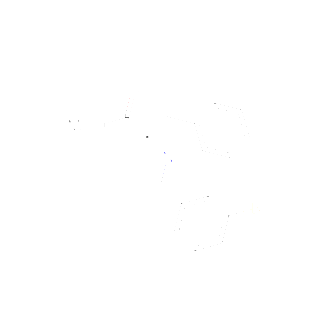 COC(=O)C(C)(Cc1ccccc1)NCc1cccc(Br)c1